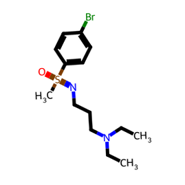 CCN(CC)CCCN=S(C)(=O)c1ccc(Br)cc1